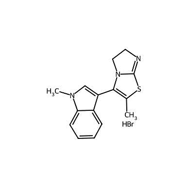 Br.CC1=C(c2cn(C)c3ccccc23)N2CCN=C2S1